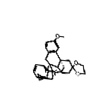 COc1ccc2c(c1)[C@]13CCN(CC4CC4)[C@H](C2)[C@]1(Cc1ccccc1)CCC1(C3)OCCO1